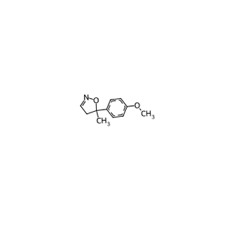 COc1ccc(C2(C)CC=NO2)cc1